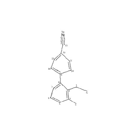 CCc1c(C)cccc1-c1ccc(C#N)cc1